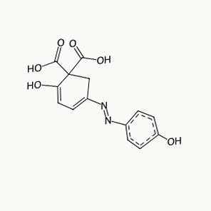 O=C(O)C1(C(=O)O)CC(/N=N/c2ccc(O)cc2)=CC=C1O